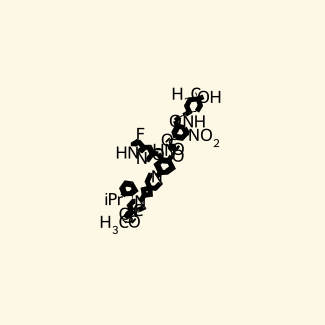 CC(C)c1ccccc1[C@H]1CN(S(C)(=O)=O)CCN1C1CC2(CCN(c3ccc(C(=O)NS(=O)(=O)c4cc5c(c([N+](=O)[O-])c4)N[C@@H]([C@H]4CC[C@](C)(O)CC4)CO5)c(Oc4cnc5[nH]cc(F)c5c4)c3)CC2)C1